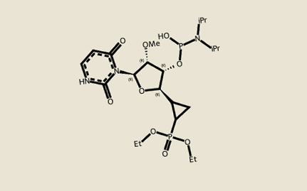 CCOP(=O)(OCC)C1CC1[C@H]1O[C@@H](n2c(=O)cc[nH]c2=O)[C@H](OC)[C@@H]1OP(O)N(C(C)C)C(C)C